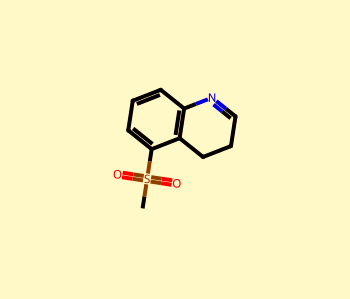 CS(=O)(=O)c1cccc2c1CCC=N2